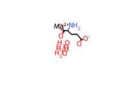 N[C@@H](CCC(=O)[O-])C(=O)[O-].O.O.O.O.[Mg+2]